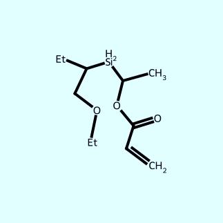 C=CC(=O)OC(C)[SiH2]C(CC)COCC